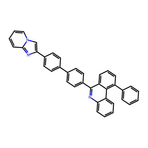 c1ccc(-c2cccc3c(-c4ccc(-c5ccc(-c6cn7ccccc7n6)cc5)cc4)nc4ccccc4c23)cc1